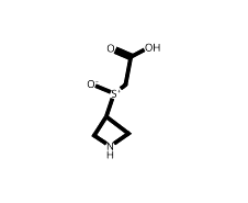 O=C(O)C[S+]([O-])C1CNC1